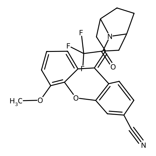 COc1cccc2c1Oc1cc(C#N)ccc1C2=C1CC2CCC(C1)N2C(=O)C(F)(F)F